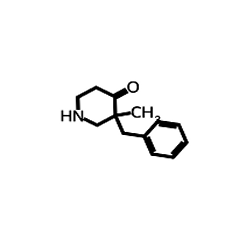 CC1(Cc2ccccc2)CNCCC1=O